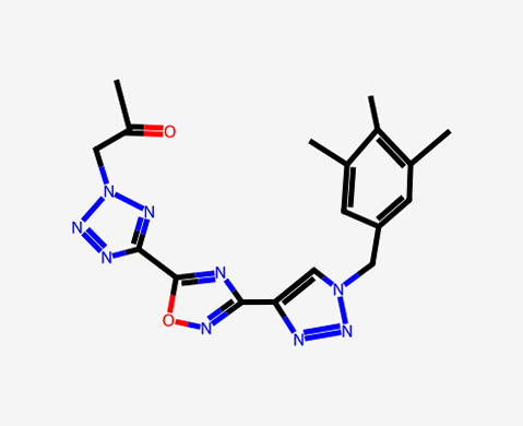 CC(=O)Cn1nnc(-c2nc(-c3cn(Cc4cc(C)c(C)c(C)c4)nn3)no2)n1